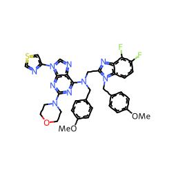 COc1ccc(CN(Cc2nc3c(F)c(F)ccc3n2Cc2ccc(OC)cc2)c2nc(N3CCOCC3)nc3c2ncn3-c2cscn2)cc1